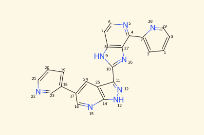 c1ccc(-c2nccc3[nH]c(-c4n[nH]c5ncc(-c6cccnc6)cc45)nc23)nc1